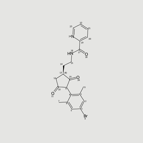 Cc1cc(Br)cc(C)c1C1C(=O)C[C@@H](CCNC(=O)c2ccccn2)C1=O